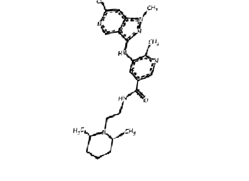 Cc1ncc(C(=O)NCCN2[C@H](C)CCC[C@@H]2C)cc1Nc1nn(C)c2cc(Cl)ncc12